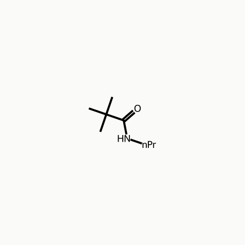 [CH2]CCNC(=O)C(C)(C)C